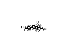 Cn1c(=O)c(C(=O)CCC=O)c(O)c2ccc(-c3ccc(C(=O)O)cc3)cc21